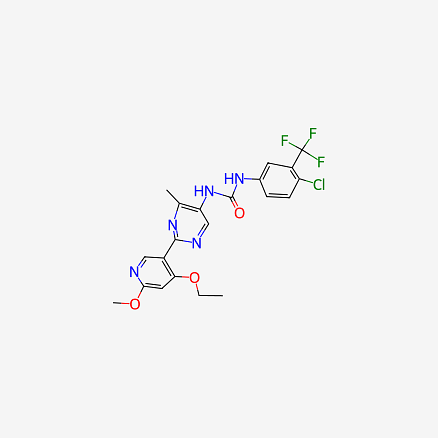 CCOc1cc(OC)ncc1-c1ncc(NC(=O)Nc2ccc(Cl)c(C(F)(F)F)c2)c(C)n1